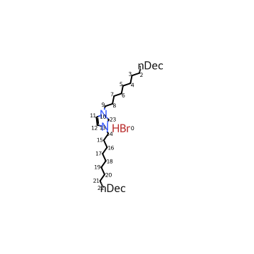 Br.CCCCCCCCCCCCCCCCCCN1C=CN(CCCCCCCCCCCCCCCCCC)C1